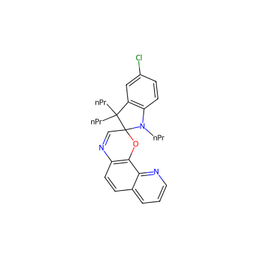 CCCN1c2ccc(Cl)cc2C(CCC)(CCC)C12C=Nc1ccc3cccnc3c1O2